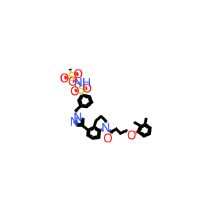 Cc1cccc(OCCCC(=O)N2CCCc3c(-c4cnn(Cc5cccc(S(=O)(=O)NOS(C)(=O)=O)c5)c4)cccc32)c1C